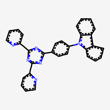 c1ccc(-c2nc(-c3ccc(-n4c5ccccc5c5ccccc54)cc3)nc(-c3ccccn3)n2)nc1